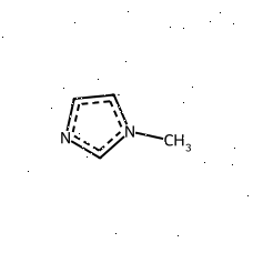 Cn1[c]cnc1